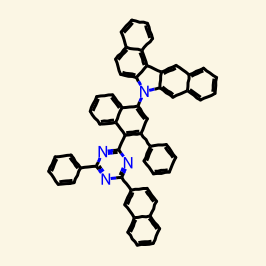 c1ccc(-c2nc(-c3ccc4ccccc4c3)nc(-c3c(-c4ccccc4)cc(-n4c5cc6ccccc6cc5c5c6ccccc6ccc54)c4ccccc34)n2)cc1